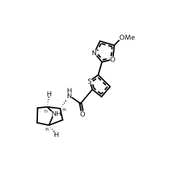 COc1cnc(-c2ccc(C(=O)N[C@@H]3C[C@H]4CC[C@@H]3N4)s2)o1